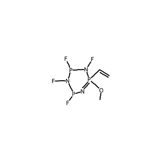 C=CP1(OC)=NP(F)N(F)P(F)N1F